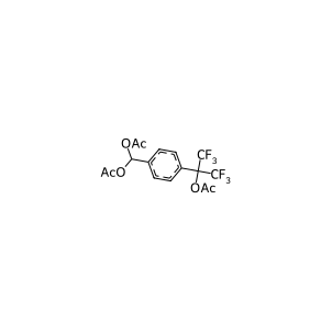 CC(=O)OC(OC(C)=O)c1ccc(C(OC(C)=O)(C(F)(F)F)C(F)(F)F)cc1